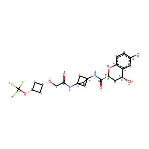 O=C(CO[C@H]1C[C@@H](OC(F)(F)F)C1)NC12CC(NC(=O)[C@H]3C[C@H](O)c4cc(Cl)ccc4O3)(C1)C2